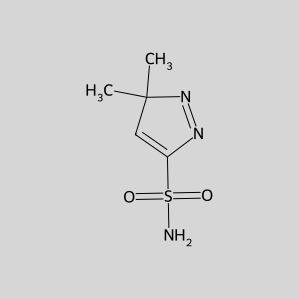 CC1(C)C=C(S(N)(=O)=O)N=N1